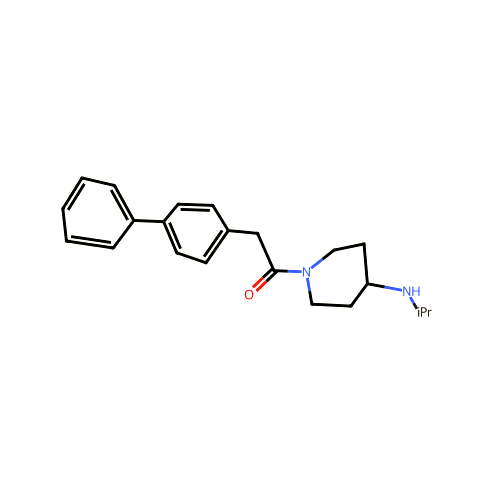 CC(C)NC1CCN(C(=O)Cc2ccc(-c3ccccc3)cc2)CC1